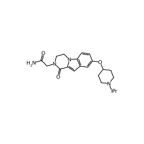 CC(C)N1CCC(Oc2ccc3c(c2)cc2n3CCN(CC(N)=O)C2=O)CC1